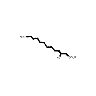 CCCCCCCCCCCCCCCCCCC(S)CC(=O)O